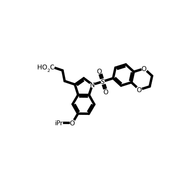 CC(C)Oc1ccc2c(c1)c(CCC(=O)O)cn2S(=O)(=O)c1ccc2c(c1)OCCO2